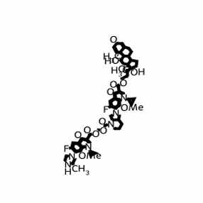 COc1c(N2CCNC(C)C2)c(F)cc2c(=O)c(C(=O)OCOC(=O)N3CCCC4CN(c5c(F)cc6c(=O)c(C(=O)OC[CH]C(=O)[C@@]7(O)CCC8C9CCC%10=CC(=O)C=C[C@]%10(C)C9[C@@H](O)C[C@@]87C)cn(C7CC7)c6c5OC)CC43)cn(C3CC3)c12